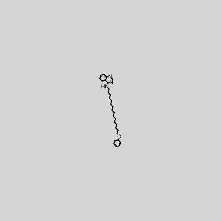 c1ccc(OCCCCCCCCCCCCCCCCNc2ncnc3ccccc23)cc1